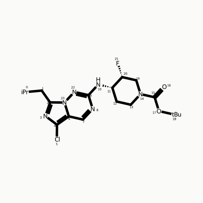 CC(C)Cc1nc(Cl)c2cnc(N[C@H]3CCN(C(=O)OC(C)(C)C)C[C@H]3F)nn12